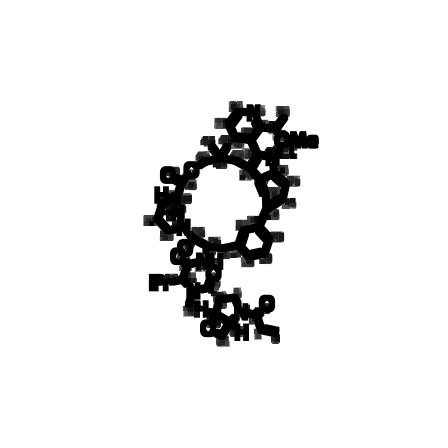 C=CC(=O)N1C[C@@H](C(=O)N(C)C(C(=O)N[C@H]2Cc3cccc(c3)-c3ccc4c(c3)c(c(-c3cccnc3[C@H](C)OC)n4CC)CC(C)(C)COC(=O)[C@@H]3CCCN(N3)C2=O)C(C)C)[C@H]2OC[C@H]21